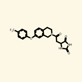 O=C1NC(=O)C(CC(=O)N2CCc3ccc(Oc4ccc(C(F)(F)F)cc4)cc3C2)N1